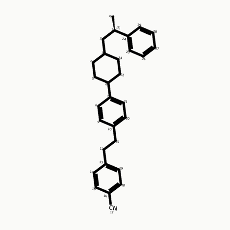 C[C@H](CC1CCC(c2ccc(CCc3ccc(C#N)cc3)cc2)CC1)c1ccccc1